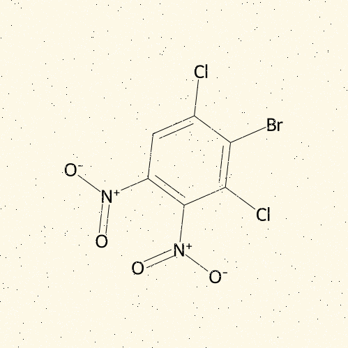 O=[N+]([O-])c1cc(Cl)c(Br)c(Cl)c1[N+](=O)[O-]